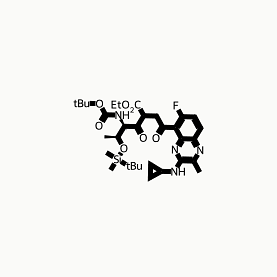 CCOC(=O)C(CC(=O)c1c(F)ccc2nc(C)c(NC3CC3)nc12)C(=O)[C@H](NC(=O)OC(C)(C)C)[C@H](C)O[Si](C)(C)C(C)(C)C